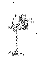 CO[Si](CCCSCCCCCCCCO[C@H]1OC(CO)[C@@H](O)[C@H](O[C@@H]2OC(CO)[C@H](O)[C@H](O[C@H]3OC(CO)[C@H](O)[C@H](O)C3C)C2O[C@@H]2OC(C)[C@@H](O)[C@H](O)C2O)C1NC(C)=O)(OC)C(C)C